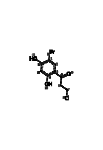 CC(C)c1cc(C(=O)CCCl)c(O)cc1O